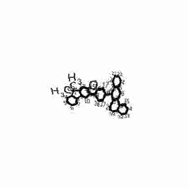 CC1(C)c2ccccc2-c2cc3c(cc21)oc1cc(-c2c4ccccc4cc4c2ccc2ccccc24)ccc13